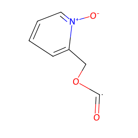 O=[C]OCc1cccc[n+]1[O-]